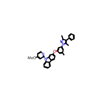 COc1ccnc(-n2c3ccccc3c3ccc(Oc4cc(C)cc(-n5nc(C)c(-c6ccccc6)c5C)c4)cc32)c1